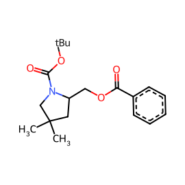 CC1(C)CC(COC(=O)c2ccccc2)N(C(=O)OC(C)(C)C)C1